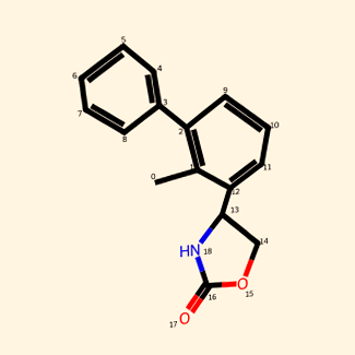 Cc1c(-c2ccccc2)cccc1C1COC(=O)N1